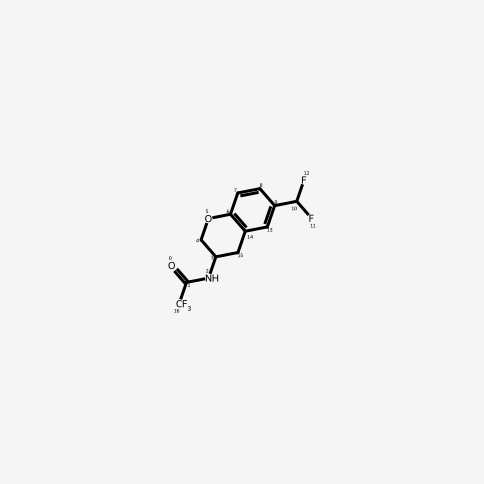 O=C(NC1COc2ccc(C(F)F)cc2C1)C(F)(F)F